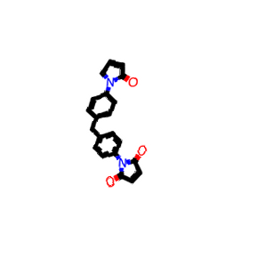 O=C1C=CC(=O)N1c1ccc(CC2=CCC(N3CC=CC3=O)C=C2)cc1